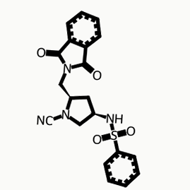 N#CN1C[C@H](NS(=O)(=O)c2ccccc2)C[C@@H]1CN1C(=O)c2ccccc2C1=O